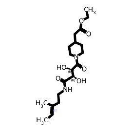 C/C=C(\C)CCNC(=O)[C@H](O)[C@@H](O)C(=O)N1CCC(CC(=O)OCC)CC1